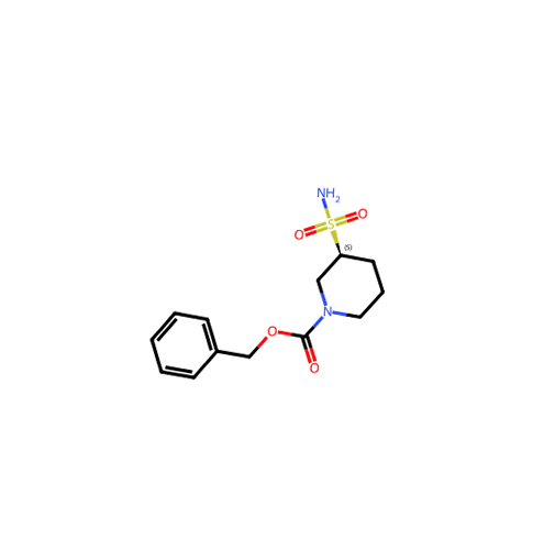 NS(=O)(=O)[C@H]1CCCN(C(=O)OCc2ccccc2)C1